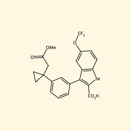 COC(=O)CC1(c2cccc(-c3c(C(=O)O)[se]c4ccc(OC(F)(F)F)cc34)c2)CC1